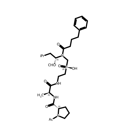 CC(=O)N1CCC[C@H]1C(=O)N[C@@H](C)C(=O)NCC[P@@](=O)(O)CN(C(=O)CCCc1ccccc1)[C@H]([C]=O)CC(C)C